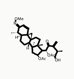 C=C(C(=O)[C@H](OC(C)=O)C1[C@@H](OC(C)=O)C[C@@]2(C)[C@@H]3CC[C@H]4[C@H](C)/C(=N/OC)C=C[C@@]45C[C@@]35CC[C@]12C)[C@@H](C)CO